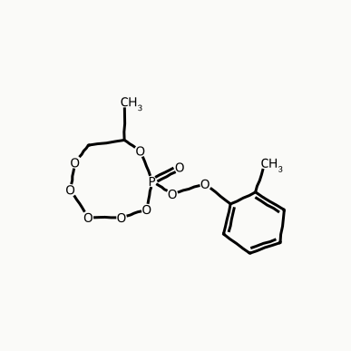 Cc1ccccc1OOP1(=O)OOOOOCC(C)O1